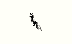 CCc1cc(-c2noc(-c3cnc(N(C)CC)c(C)c3)n2)cc(C)c1OCC(O)CN